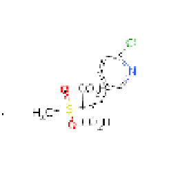 CS(=O)(=O)C(Cc1ccc(Cl)nc1)(C(=O)O)C(=O)O